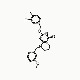 COc1cccc(CN2CCCn3c2cc(OCc2ccc(C)c(F)c2)nc3=O)c1